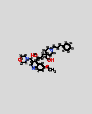 COc1ccc2ncc(CN3CCOCC3)c([C@H](O)CCC3(CO)CCN(CCCc4ccccc4)CC3)c2c1